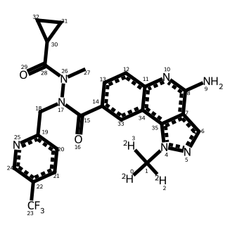 [2H]C([2H])([2H])n1ncc2c(N)nc3ccc(C(=O)N(Cc4ccc(C(F)(F)F)cn4)N(C)C(=O)C4CC4)cc3c21